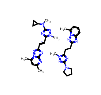 Cc1cc(C)n2nc(/C=C/c3nc(N(C)C4CC4)nn3C)nc2n1.Cc1cccc2nc(CCc3nc(N4CCCC4)nn3C)nn12